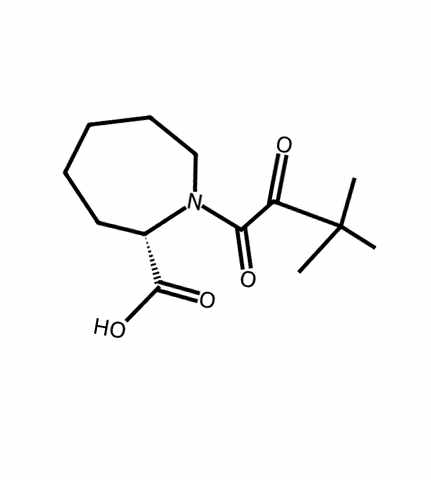 CC(C)(C)C(=O)C(=O)N1CCCCC[C@H]1C(=O)O